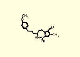 COc1ccc(CCCC2CCc3c(cn(C)c3C=O)S(=N)N2)cc1